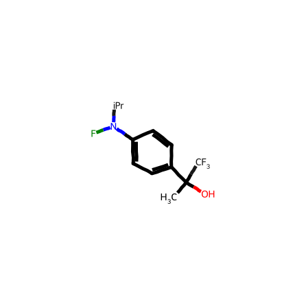 CC(C)N(F)c1ccc(C(C)(O)C(F)(F)F)cc1